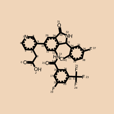 O=C(O)Cc1ccncc1-c1cc(NC(=O)c2cc(F)cc(C(F)(F)F)c2)c2c(c1)C(=O)NC2c1cc(F)ccc1Cl